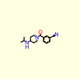 CC(C)NC1CCN(C(=O)c2cccc(C#N)c2)CC1